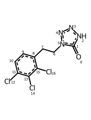 O=c1[nH]nnn1CCc1ccc(Cl)c(Cl)c1Cl